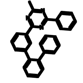 Cc1nc(-c2ccccc2)nc(-c2cccc(-c3ccccc3-c3ccccc3)c2)n1